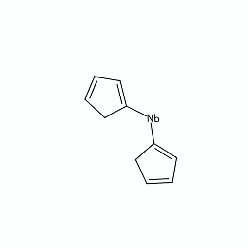 C1=CC[C]([Nb][C]2=CC=CC2)=C1